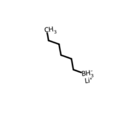 [BH3-]CCCCCC.[Li+]